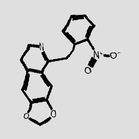 O=[N+]([O-])c1ccccc1CC1=NCCc2cc3c(cc21)OCO3